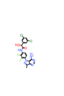 Cc1nn(-c2ccc(NC(=O)C(O)c3cc(Cl)cc(Cl)c3)c(F)c2F)c2c(N)ncnc12